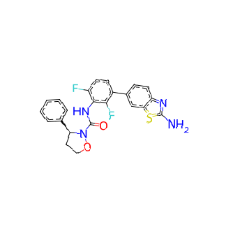 Nc1nc2ccc(-c3ccc(F)c(NC(=O)N4OCC[C@H]4c4ccccc4)c3F)cc2s1